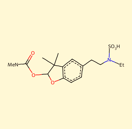 CCN(CCc1ccc2c(c1)C(C)(C)C(OC(=O)NC)O2)S(=O)(=O)O